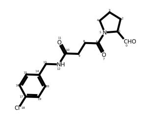 O=CC1CCCN1C(=O)CCC(=O)NCc1ccc(Cl)cc1